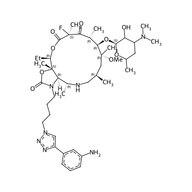 CC[C@H]1OC(=O)[C@@](C)(F)C(=O)[C@H](C)[C@@H](O[C@@H]2OC(C)CC(N(C)C)C2O)[C@](C)(OC)C[C@@H](C)CN[C@H](C)[C@H]2N(CCCCn3cc(-c4cccc(N)c4)nn3)C(=O)O[C@]12C